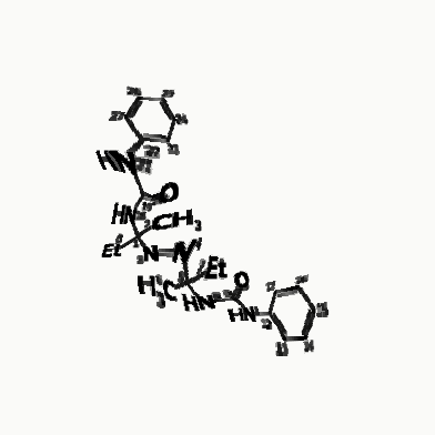 CCC(C)(/N=N/C(C)(CC)NC(=O)Nc1ccccc1)NC(=O)Nc1ccccc1